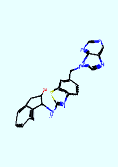 OC1Cc2ccccc2C1Nc1nc2ccc(Cn3cnc4cncnc43)cc2s1